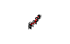 C[C@H]1CCC2C3CCC4CC(=NOCCc5nc(CN(C)C)no5)CC[C@]4(C)C3CC[C@@]21C